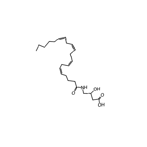 CCCCC/C=C\C/C=C\C/C=C\C/C=C\CCCC(=O)NCC(O)CC(=O)O